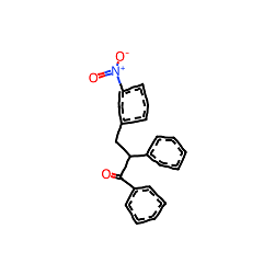 O=C(c1ccccc1)C(Cc1cccc([N+](=O)[O-])c1)c1ccccc1